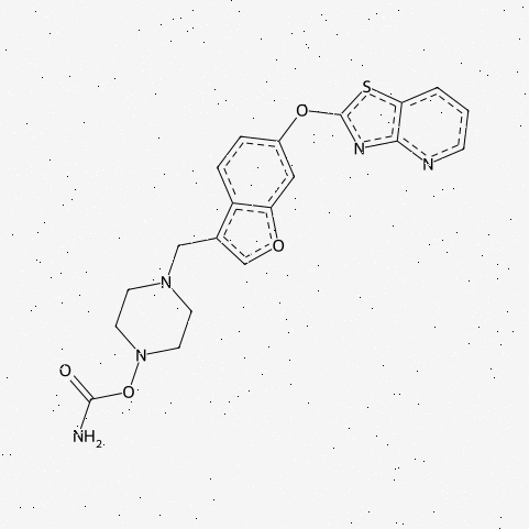 NC(=O)ON1CCN(Cc2coc3cc(Oc4nc5ncccc5s4)ccc23)CC1